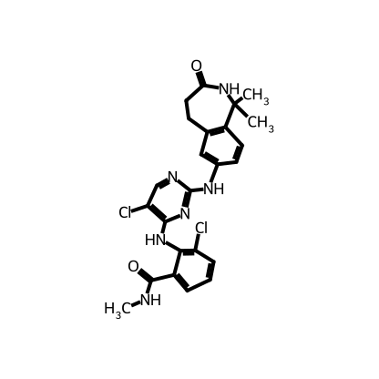 CNC(=O)c1cccc(Cl)c1Nc1nc(Nc2ccc3c(c2)CCC(=O)NC3(C)C)ncc1Cl